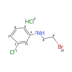 Cl.Clc1cccc(NCCBr)c1